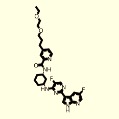 CCOCCOCCCc1ccnc(C(=O)N[C@H]2CCC[C@@H](Nc3nc(-c4c[nH]c5ncc(F)cc45)ncc3F)C2)c1